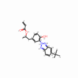 C=CC(=O)OC(C)Cc1ccc(O)c(-n2nc3ccc(C(C)(C)C)cc3n2)c1